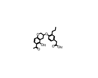 CCCc1cc(CC(=O)O)ccc1OC1COc2ccc(C(C)=O)c(O)c2C1